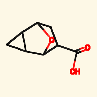 O=C(O)C1CC2OC1C1CC21